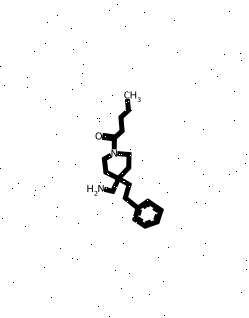 CCCCC(=O)N1CCC(CN)(CCc2ccccc2)CC1